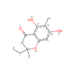 CCC1(C)CC(=O)c2c(cc(O)c(C)c2O)O1